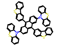 c1ccc2c(c1)Sc1ccccc1N2c1ccc2c(-c3ccc4sc5ccccc5c4c3)c3cc(N4c5ccccc5Sc5ccccc54)ccc3c(-c3ccc4sc5ccccc5c4c3)c2c1